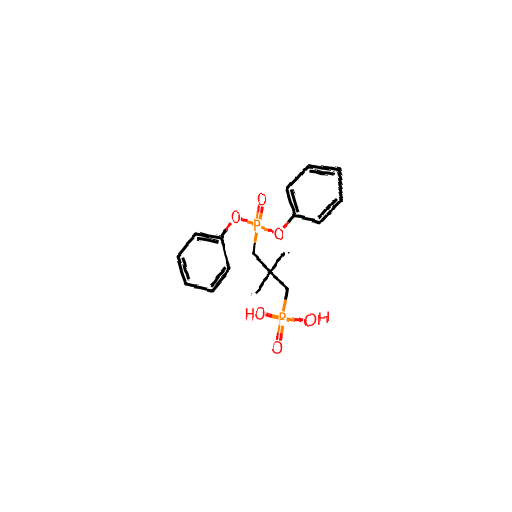 [CH2]C([CH2])(CP(=O)(O)O)CP(=O)(Oc1ccccc1)Oc1ccccc1